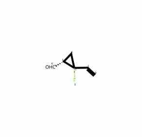 C=C[C@]1(F)C[C@H]1C=O